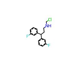 Fc1cccc(C(CCNCCl)c2cccc(F)c2)c1